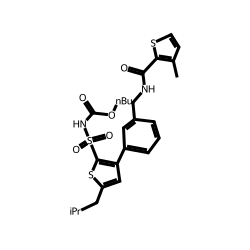 CCCCOC(=O)NS(=O)(=O)c1sc(CC(C)C)cc1-c1cccc(CNC(=O)c2sccc2C)c1